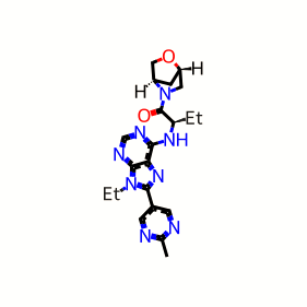 CC[C@@H](Nc1ncnc2c1nc(-c1cnc(C)nc1)n2CC)C(=O)N1C[C@@H]2C[C@@H]1CO2